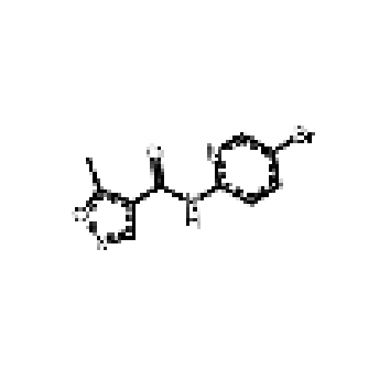 Cc1oncc1C(=O)Nc1ccc(Br)cn1